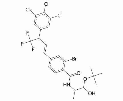 CC(NC(=O)c1ccc(/C=C/C(c2cc(Cl)c(Cl)c(Cl)c2)C(F)(F)F)cc1Br)C(O)OC(C)(C)C